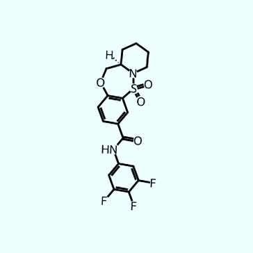 O=C(Nc1cc(F)c(F)c(F)c1)c1ccc2c(c1)S(=O)(=O)N1CCCC[C@@H]1CO2